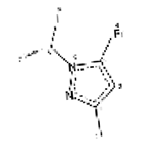 Cc1cc(C(C)C)n([C@H](C)I)n1